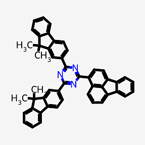 CC1(C)c2ccccc2-c2ccc(-c3nc(-c4ccc5c(c4)C(C)(C)c4ccccc4-5)nc(-c4ccc5c6c(cccc46)-c4ccccc4-5)n3)cc21